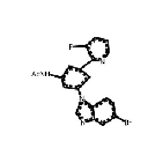 CC(=O)Nc1cc(-c2ncccc2F)cc(-n2cnc3cc(Br)ccc32)c1